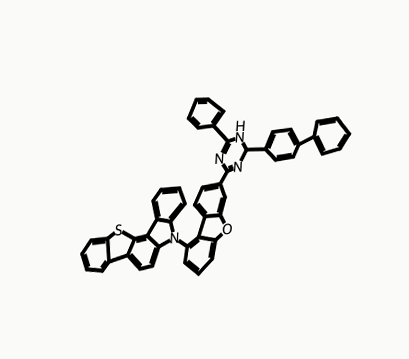 c1ccc(C2=NC(c3ccc4c(c3)oc3cccc(-n5c6ccccc6c6c7sc8ccccc8c7ccc65)c34)=NC(c3ccc(-c4ccccc4)cc3)N2)cc1